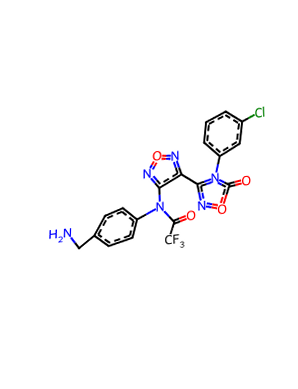 NCc1ccc(N(C(=O)C(F)(F)F)c2nonc2-c2noc(=O)n2-c2cccc(Cl)c2)cc1